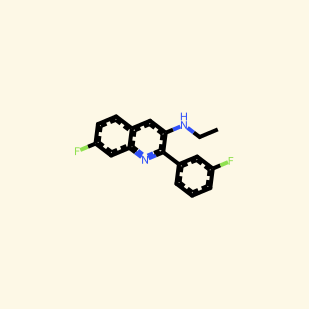 CCNc1cc2ccc(F)cc2nc1-c1cccc(F)c1